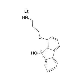 CCNCCCOc1cccc2c1[C@@H](O)c1ccccc1-2